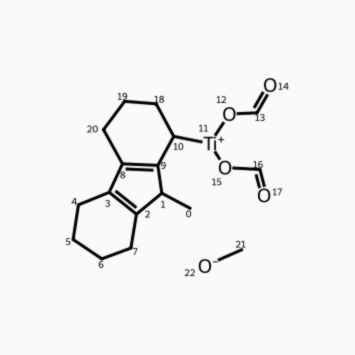 CC1C2=C(CCCC2)C2=C1[CH]([Ti+]([O]C=O)[O]C=O)CCC2.C[O-]